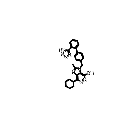 Cc1nc2c(C3CCCCC3)nnc(O)c2n1Cc1ccc(-c2ccccc2-c2nnn[nH]2)cc1